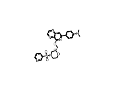 CN(C)c1ccc(-c2cc3nccnc3c(OC[C@@H]3CN(S(=O)(=O)c4cccnc4)CCO3)n2)cc1